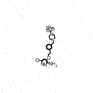 CC(C)(C)OC(=O)N1CCN(Cc2cccc(CCOc3cc(Cl)nnc3N)c2)CC1